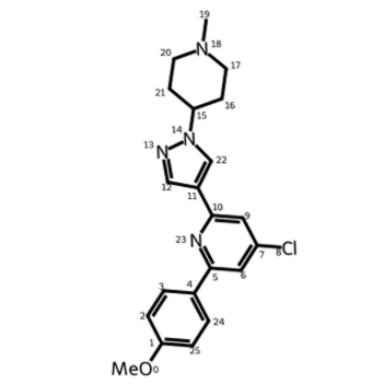 COc1ccc(-c2cc(Cl)cc(-c3cnn(C4CCN(C)CC4)c3)n2)cc1